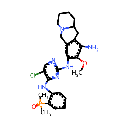 COc1c(Nc2ncc(Cl)c(Nc3ccccc3P(C)(C)=O)n2)cc2c(c1N)CC1CCCCN1C2